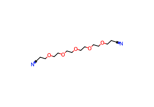 N#CCCOCCOCCOCCOCCOCCC#N